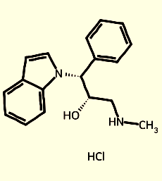 CNC[C@H](O)[C@@H](c1ccccc1)n1ccc2ccccc21.Cl